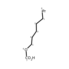 CC(C)CCCCCOC(=O)O